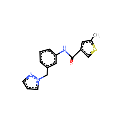 Cc1cc(C(=O)Nc2cccc(Cn3cccn3)c2)cs1